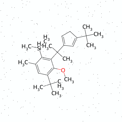 COc1c(C(C)(C)C)cc(C)c([SiH](C)C)c1C(C)(C)C1=CCC(C(C)(C)C)=C1